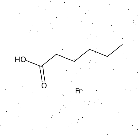 CCCCCC(=O)O.[Fr]